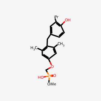 COP(=O)(O)COc1cc(C)c(Cc2ccc(O)c(C(C)C)c2)c(C)c1